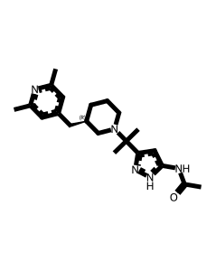 CC(=O)Nc1cc(C(C)(C)N2CCC[C@H](Cc3cc(C)nc(C)c3)C2)n[nH]1